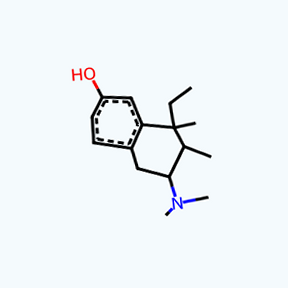 CCC1(C)c2cc(O)ccc2CC(N(C)C)C1C